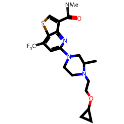 CNC(=O)c1csc2c(C(F)(F)F)cc(N3CCN(CCOC4CC4)C(C)C3)nc12